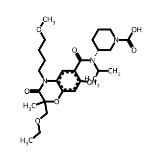 CCOCC1(C)Oc2cc(C)c(C(=O)N(C(C)C)[C@@H]3CCCN(C(=O)O)C3)cc2N(CCCCOC)C1=O